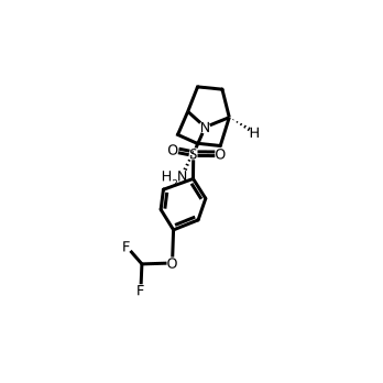 N[C@@H]1CC2CC[C@@H](C1)N2S(=O)(=O)c1ccc(OC(F)F)cc1